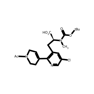 CC(=O)N1CC=C(c2ncc(Cl)cc2C[C@@H](C(=O)O)N(C)C(=O)OC(C)(C)C)CC1